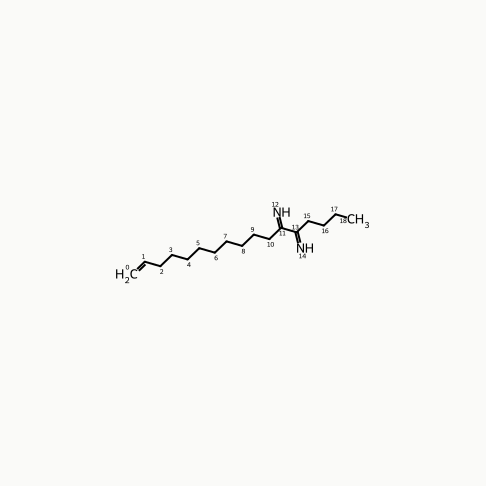 C=CCCCCCCCCCC(=N)C(=N)CCCC